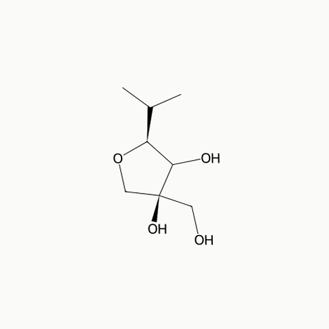 CC(C)[C@@H]1OC[C@@](O)(CO)C1O